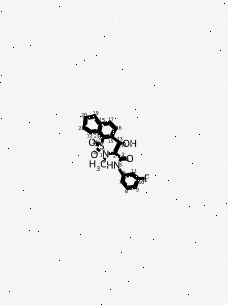 CN1C(C(=O)Nc2cccc(F)c2)=C(O)c2ccc3ccccc3c2S1(=O)=O